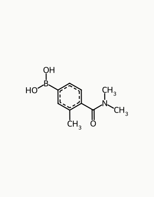 Cc1cc(B(O)O)ccc1C(=O)N(C)C